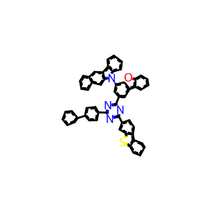 c1ccc(-c2ccc(-c3nc(-c4ccc5c(c4)sc4ccccc45)nc(-c4cc(-n5c6ccccc6c6cc7ccccc7cc65)c5oc6ccccc6c5c4)n3)cc2)cc1